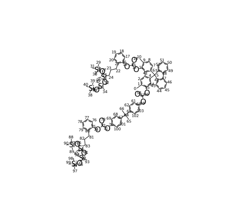 Cc1ccc(C2(c3ccc(C)c(OC(=O)Oc4ccccc4CCC[Si](C)(O[Si](C)(C)C)O[Si](C)(C)O[Si](C)(C)C)c3)c3ccccc3-c3ccccc32)cc1OC(=O)Oc1ccc(C(C)(C)c2ccc(OC(=O)Oc3ccccc3CCC[Si](C)(O[Si](C)(C)C)O[Si](C)(C)O[Si](C)(C)C)cc2)cc1